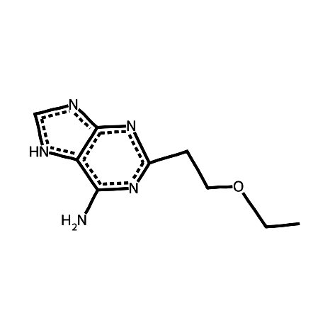 CCOCCc1nc(N)c2[nH]cnc2n1